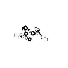 CCCCS(=O)(=O)Nc1cccc(N(Cc2cccnc2)c2ccc(OC)c(OC3CCCC3)c2)c1